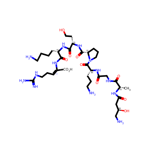 C[C@H](NC(=O)C[C@@H](O)CN)C(=O)NCC(=O)N[C@H](CCCN)C(=O)N1CCC[C@H]1C(=O)N[C@@H](CCO)C(=O)N[C@@H](CCCCN)C(=O)N/C(=C\CCNC(=N)N)C(=O)O